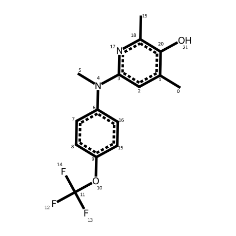 Cc1cc(N(C)c2ccc(OC(F)(F)F)cc2)nc(C)c1O